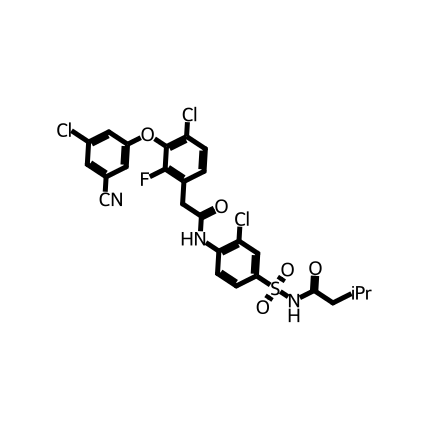 CC(C)CC(=O)NS(=O)(=O)c1ccc(NC(=O)Cc2ccc(Cl)c(Oc3cc(Cl)cc(C#N)c3)c2F)c(Cl)c1